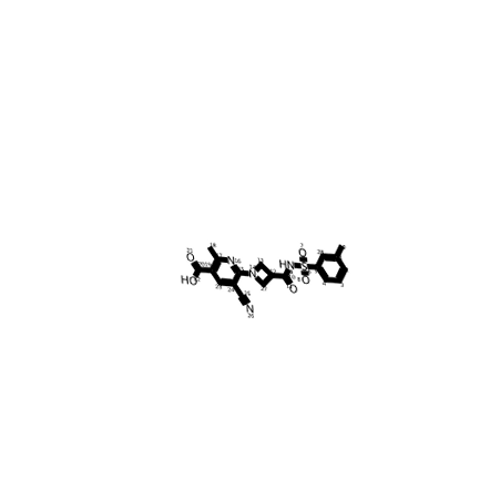 Cc1cccc(S(=O)(=O)NC(=O)C2CN(c3nc(C)c(C(=O)O)cc3C#N)C2)c1